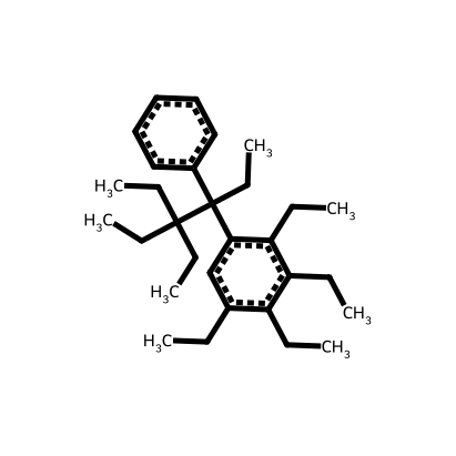 CCc1cc(C(CC)(c2ccccc2)C(CC)(CC)CC)c(CC)c(CC)c1CC